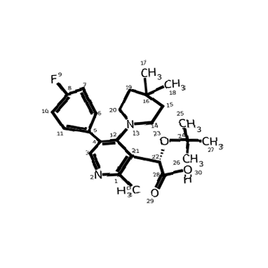 Cc1ncc(-c2ccc(F)cc2)c(N2CCC(C)(C)CC2)c1[C@H](OC(C)(C)C)C(=O)O